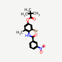 Cc1cc(OC(=O)C(C)(C)C)cc(Br)c1NC(=O)c1cccc([N+](=O)[O-])c1